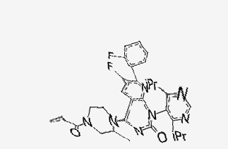 C=CC(=O)N1CCN(c2nc(=O)n(-c3c(C(C)C)ncnc3C(C)C)c3nc(-c4ccccc4F)c(F)cc23)C(C)C1